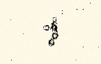 Clc1cc2c(N3CCOCC3)nc(CN3CCC(N4CCOCC4)CC3)cc2s1